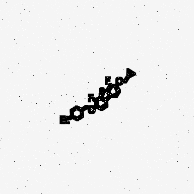 CCC1CCC(COc2ccc3c(sc4c(F)c(OCC5CC5)ccc43)c2F)CC1